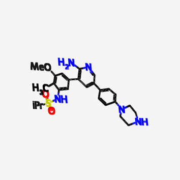 COc1cc(-c2cc(-c3ccc(N4CCNCC4)cc3)cnc2N)cc(NS(=O)(=O)C(C)C)c1C